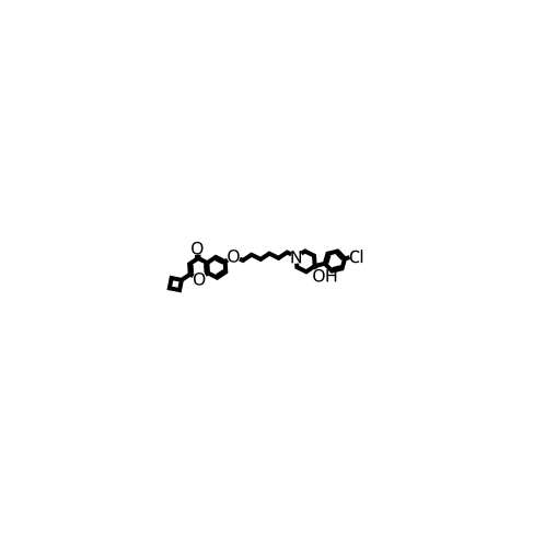 O=c1cc(C2CCC2)oc2ccc(OCCCCCCN3CCC(O)(c4ccc(Cl)cc4)CC3)cc12